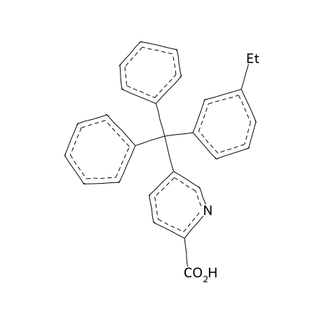 CCc1cccc(C(c2ccccc2)(c2ccccc2)c2ccc(C(=O)O)nc2)c1